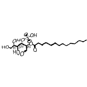 CCCCCCCCCCCCCC(=O)O[C@@H](C=O)[C@@H](OS(=O)(=O)O)[C@@H](O)[C@H](O)CO